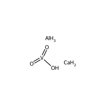 [AlH3].[CaH2].[O]=[V](=[O])[OH]